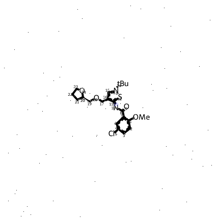 COc1ccc(Cl)cc1C(=O)/N=c1\sn(C(C)(C)C)cc1COC[C@H]1CCCO1